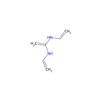 C=CNC(=C)NC=C